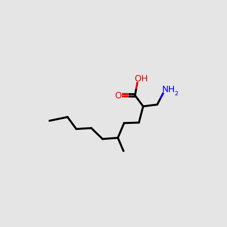 CCCCCC(C)CCC(CN)C(=O)O